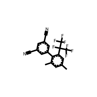 Cc1[c]c(C)c(-c2cc(C#N)cc(C#N)c2)c(C(F)(C(F)(F)F)C(F)(F)F)c1